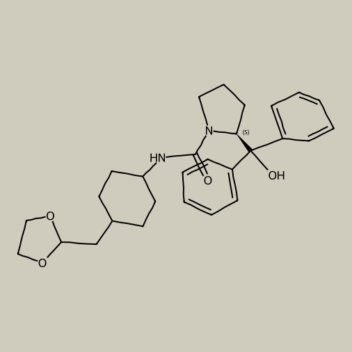 O=C(NC1CCC(CC2OCCO2)CC1)N1CCC[C@H]1C(O)(c1ccccc1)c1ccccc1